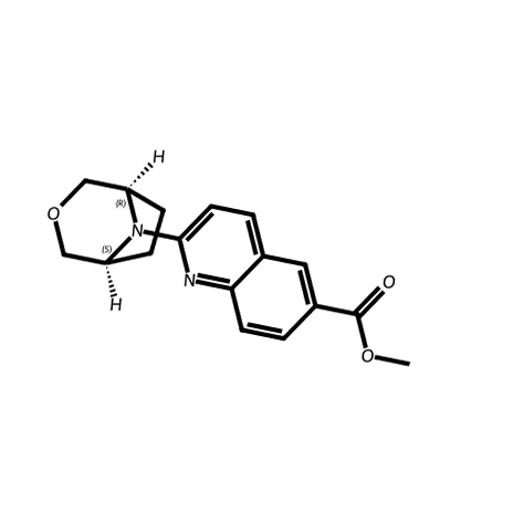 COC(=O)c1ccc2nc(N3[C@@H]4CC[C@H]3COC4)ccc2c1